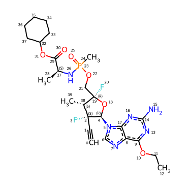 C#C[C@]1(F)[C@H](n2cnc3c(OCC)nc(N)nc32)O[C@](F)(COP(C)(=O)N[C@@H](C)C(=O)OC2CCCCC2)[C@H]1C